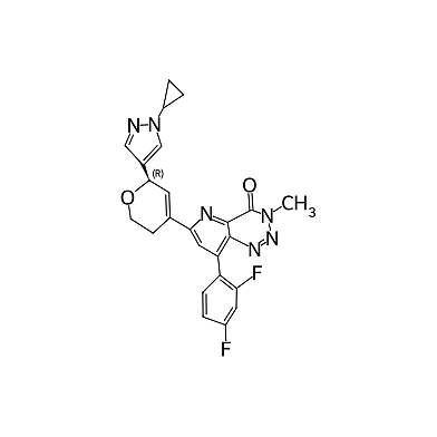 Cn1nnc2c(-c3ccc(F)cc3F)cc(C3=C[C@H](c4cnn(C5CC5)c4)OCC3)nc2c1=O